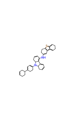 C1=CCC2C(=C1)C1=C(NC3=Cc4c(sc5c4=CCCC=5)CC3)C=CCC1N2C1=CC=C(C2CC=CCC2)CC1